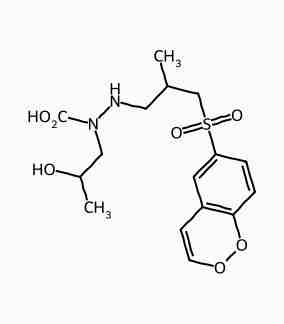 CC(O)CN(NCC(C)CS(=O)(=O)c1ccc2c(c1)C=COO2)C(=O)O